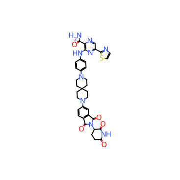 NC(=O)c1ncc(-c2nccs2)nc1Nc1ccc(N2CCC3(CC2)CCN(c2ccc4c(c2)C(=O)N(C2CCC(=O)NC2=O)C4=O)CC3)cc1